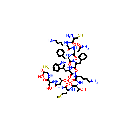 CSCC[C@H](NC(=O)[C@@H](NC(=O)[C@H](CCCCN)NC(=O)[C@@H](Cc1c[nH]c2ccccc12)NC(=O)[C@H](Cc1ccccc1)NC(=O)[C@H](Cc1ccccc1)NC(=O)[C@H](CC(N)=O)NC(=O)[C@H](CCCCN)NC(=O)[C@@H](N)CS)C(C)O)C(=O)N[C@H](C(=O)N[C@@H](CO)C(=O)N[C@@H](CS)C(=O)O)C(C)O